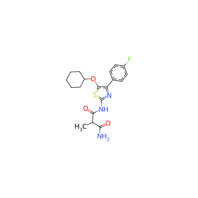 C[C](C(N)=O)C(=O)Nc1nc(-c2ccc(F)cc2)c(OC2CCCCC2)s1